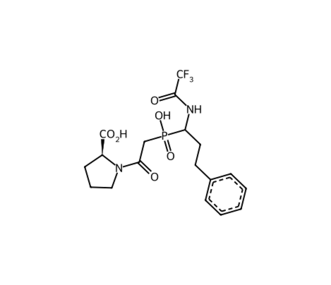 O=C(O)[C@@H]1CCCN1C(=O)CP(=O)(O)C(CCc1ccccc1)NC(=O)C(F)(F)F